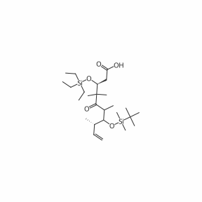 C=C[C@H](C)C(O[Si](C)(C)C(C)(C)C)C(C)C(=O)C(C)(C)[C@H](CC(=O)O)O[Si](CC)(CC)CC